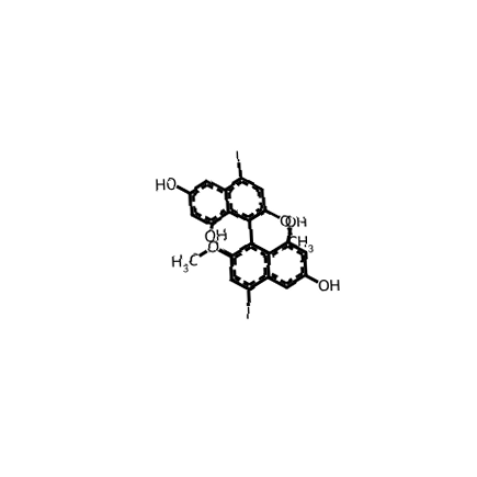 COc1cc(I)c2cc(O)cc(O)c2c1-c1c(OC)cc(I)c2cc(O)cc(O)c12